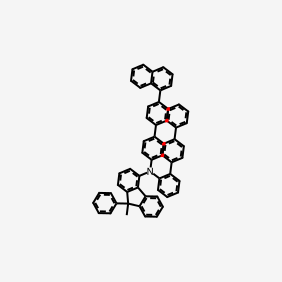 CC1(c2ccccc2)c2ccccc2-c2c(N(c3ccc(-c4ccc(-c5cccc6ccccc56)cc4)cc3)c3ccccc3-c3ccc(-c4ccccc4)cc3)cccc21